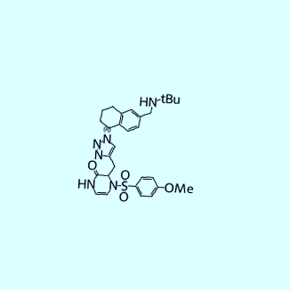 COc1ccc(S(=O)(=O)N2C=CNC(=O)C2Cc2cn([C@@H]3CCCc4cc(CNC(C)(C)C)ccc43)nn2)cc1